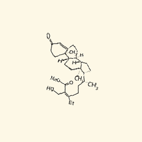 CCC(CC[C@@H](C)[C@H]1CC[C@H]2[C@@H]3CCC4=CC(=O)CC[C@]4(C)[C@H]3CC[C@]12C)=C(CO)C(=O)OC